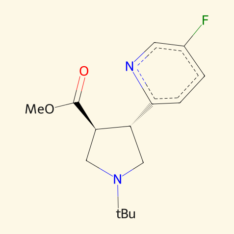 COC(=O)[C@@H]1CN(C(C)(C)C)C[C@H]1c1ccc(F)cn1